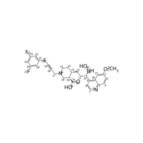 COc1ccc2nccc(C(CC[C@@H]3CCN(CC#CSc4cc(F)cc(F)c4)C[C@@H]3C(=O)O)NO)c2c1